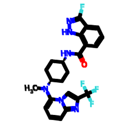 CN(c1cccc2nc(C(F)(F)F)cn12)[C@H]1CC[C@@H](NC(=O)c2cccc3c(F)n[nH]c23)CC1